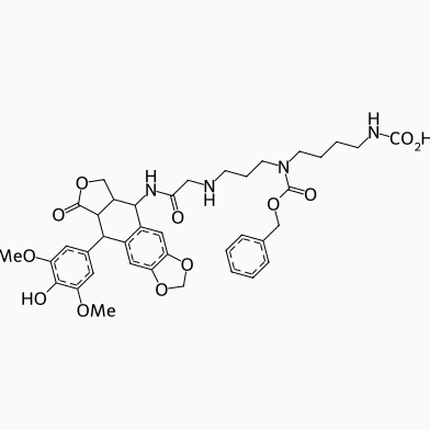 COc1cc(C2c3cc4c(cc3C(NC(=O)CNCCCN(CCCCNC(=O)O)C(=O)OCc3ccccc3)C3COC(=O)C23)OCO4)cc(OC)c1O